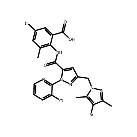 Cc1cc(Cl)cc(C(=O)O)c1NC(=O)c1cc(Cn2nc(C)c(Br)c2C)nn1-c1ncccc1Cl